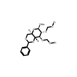 CCOCO[C@@H]1[C@@H](OCOCC)[C@H](OC)O[C@@H]2COC(c3ccccc3)O[C@@H]12